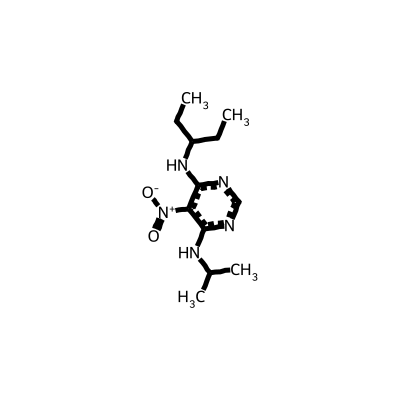 CCC(CC)Nc1ncnc(NC(C)C)c1[N+](=O)[O-]